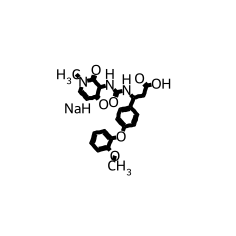 COc1ccccc1Oc1ccc(C(CC(=O)O)NC(=O)NC2C(=O)C=CN(C)C2=O)cc1.[NaH]